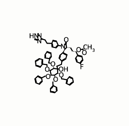 CC(=O)O[C@@H](CC[C@H]1C(=O)N(c2ccc(CCc3nc[nH]n3)cc2)[C@@H]1c1ccc(CCC2(O)[C@H](OCc3ccccc3)[C@@H](OCc3ccccc3)[C@H](OCc3ccccc3)[C@@H](OCc3ccccc3)[C@@H]2OCc2ccccc2)cc1)c1ccc(F)cc1